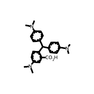 CN(C)c1ccc(C(c2ccc(N(C)C)cc2)c2ccc(N(C)C)cc2C(=O)O)cc1